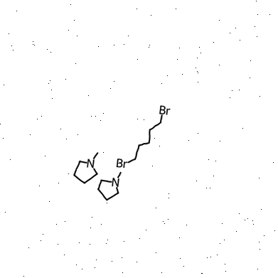 BrCCCCCBr.CN1CCCC1.CN1CCCC1